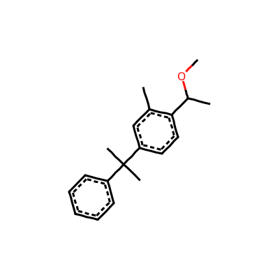 COC(C)c1ccc(C(C)(C)c2ccccc2)cc1C